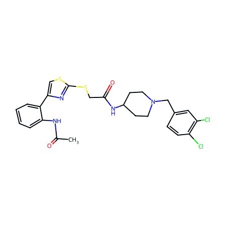 CC(=O)Nc1ccccc1-c1csc(SCC(=O)NC2CCN(Cc3ccc(Cl)c(Cl)c3)CC2)n1